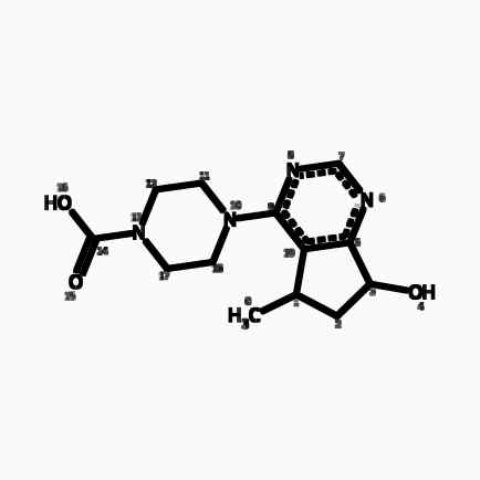 CC1CC(O)c2ncnc(N3CCN(C(=O)O)CC3)c21